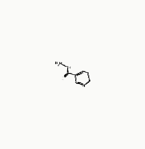 NNC(=O)C1=CCCN=N1